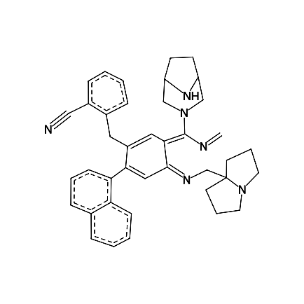 C=N/C(=C1/C=C(Cc2ccccc2C#N)C(c2cccc3ccccc23)=C/C1=N/CC12CCCN1CCC2)N1CC2CCC(C1)N2